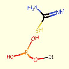 CCOP(O)O.N=C(N)S